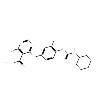 COC(=N)c1c(N)ncnc1Oc1ccc(NC(=O)NC2CCCCC2)c(Cl)c1